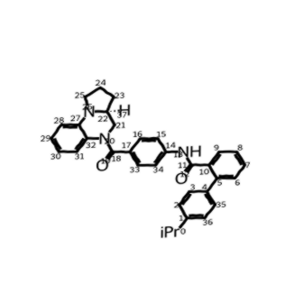 CC(C)c1ccc(-c2ccccc2C(=O)Nc2ccc(C(=O)N3C[C@@H]4CCCN4c4ccccc43)cc2)cc1